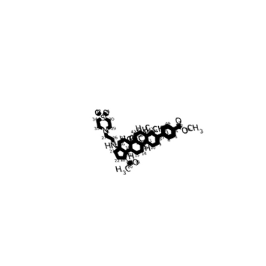 COC(=O)c1ccc(C2=CC[C@]3(C)[C@H]4CCC5[C@H]6[C@H](C(C)=O)CC[C@]6(NCCN6CCS(=O)(=O)CC6)CC[C@@]5(C)[C@]4(C)CC[C@H]3C2(C)C)cc1